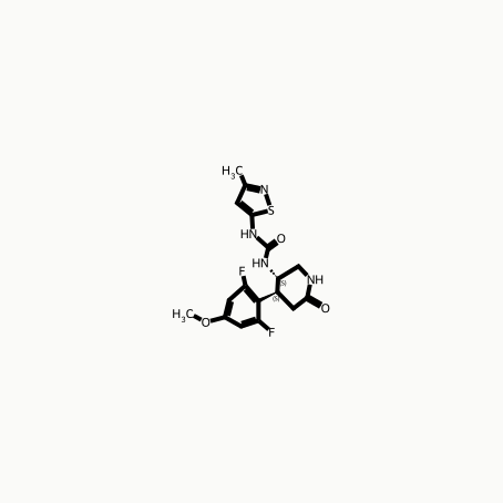 COc1cc(F)c([C@@H]2CC(=O)NC[C@H]2NC(=O)Nc2cc(C)ns2)c(F)c1